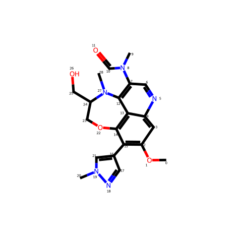 COc1cc2ncc(N(C)C=O)c3c2c(c1-c1cnn(C)c1)OCC(CO)N3C